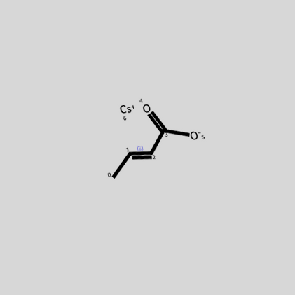 C/C=C/C(=O)[O-].[Cs+]